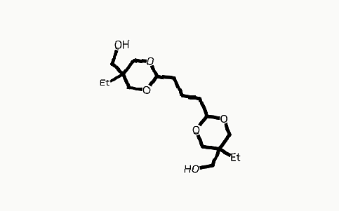 CCC1(CO)COC(CCCC2OCC(CC)(CO)CO2)OC1